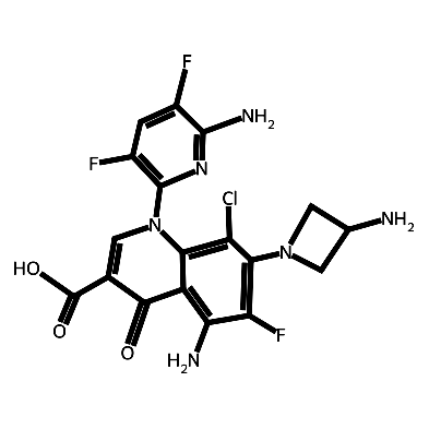 Nc1nc(-n2cc(C(=O)O)c(=O)c3c(N)c(F)c(N4CC(N)C4)c(Cl)c32)c(F)cc1F